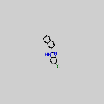 Clc1ccc2[nH]c(-c3ccc4ccccc4c3)nc2c1